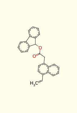 C=Cc1ccc(CC(=O)OC2c3ccccc3-c3ccccc32)c2ccccc12